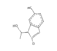 CC(O)C1C(Cl)=Cc2ccc(C#N)cc21